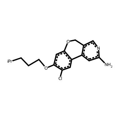 CC(C)CCCOc1cc2c(cc1Cl)-c1cc(N)ncc1CO2